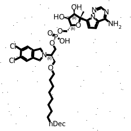 CCCCCCCCCCCCCCCCCCOC[C@H](COP(=O)(O)OC[C@H]1O[C@@](C)(c2ccc3c(N)ncnn23)[C@H](O)[C@@H]1O)N1Cc2cc(Cl)c(Cl)cc2C1